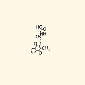 CC1=C(CCCC(=O)NCC(=O)O)C(=O)c2ccccc2C1=O